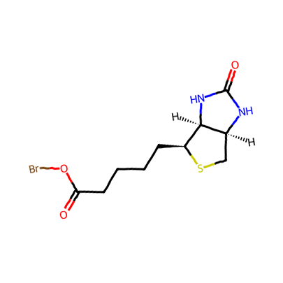 O=C1N[C@H]2[C@H](CS[C@H]2CCCCC(=O)OBr)N1